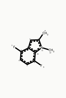 Cc1cc2c(F)ccc(F)c2n1C